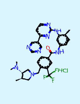 Cc1ccc(NC(=O)c2ccc(CN3C[C@@H](C)[C@H](N(C)C)C3)c(C(F)(F)F)c2)cc1Nc1nccc(-c2cncnc2)n1.Cl